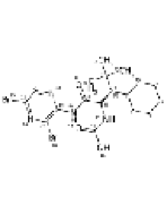 CC(C)(C)[C@@H](C1CCCCC1)C(NC(=O)O)C(=O)Nc1ncc(Br)nc1Br